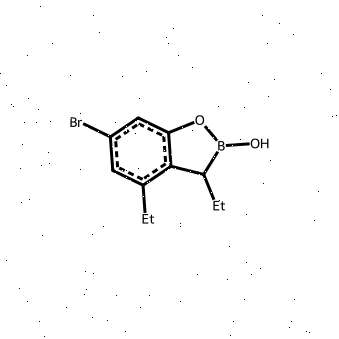 CCc1cc(Br)cc2c1C(CC)B(O)O2